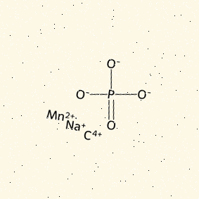 O=P([O-])([O-])[O-].[C+4].[Mn+2].[Na+]